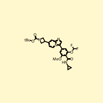 COc1cc(-c2cnc3cc(C4CN(C(=O)OC(C)(C)C)C4)ccn23)cc(OC(F)F)c1C(=O)NC1CC1